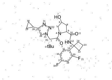 CC(C)(C)[C@@H](C(=O)N1CC(O)CC1C(=O)NC1(c2ccc(F)cc2F)CCC1)n1cc(C2CC2)nn1